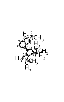 CC(C)C1=Cc2c(cccc2-c2cc(C(C)(C)C)cc(C(C)(C)C)c2)[CH]1